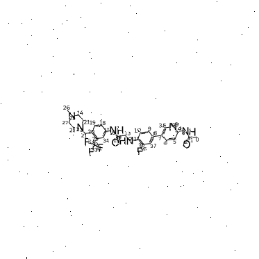 CC(=O)Nc1ccc(-c2ccc(NCC(=O)Nc3ccc(CN4CCN(C)CC4)c(C(F)(F)F)c3)c(F)c2)cn1